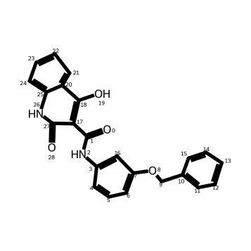 O=C(Nc1cccc(OCc2ccccc2)c1)c1c(O)c2ccccc2[nH]c1=O